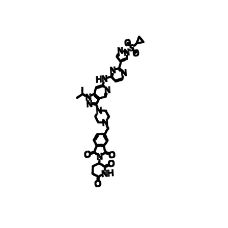 CC(C)n1nc(N2CCN(Cc3ccc4c(c3)C(=O)N(C3CCC(=O)NC3=O)C4=O)CC2)c2cnc(Nc3ccnc(-c4cnn(S(=O)(=O)C5CC5)c4)n3)cc21